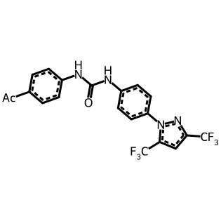 CC(=O)c1ccc(NC(=O)Nc2ccc(-n3nc(C(F)(F)F)cc3C(F)(F)F)cc2)cc1